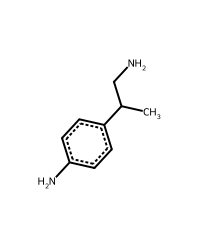 CC(CN)c1ccc(N)cc1